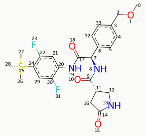 COCc1ccc([C@@H](NC(=O)[C@@H]2CNC(=O)C2)C(=O)Nc2cc(F)c(S(C)(C)C)cc2F)cc1